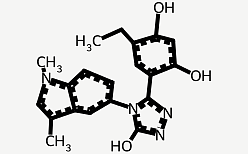 CCc1cc(-c2nnc(O)n2-c2ccc3c(c2)c(C)cn3C)c(O)cc1O